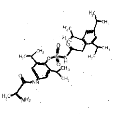 CC(N)C(=O)Nc1cc(C(C)C)c(OS(=O)(=O)NC(=O)Cc2c(C(C)C)cc(C(C)C)cc2C(C)C)c(C(C)C)c1